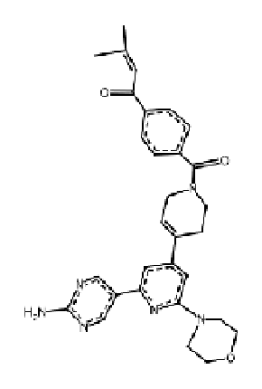 CC(C)=CC(=O)c1ccc(C(=O)N2CC=C(c3cc(-c4cnc(N)nc4)nc(N4CCOCC4)c3)CC2)cc1